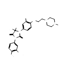 CC1(C)C(=O)N(c2ccc(C#N)c(C(F)(F)F)c2)C(=S)N1c1ccc(OCCN2CCN(C(=O)O)CC2)c(F)c1